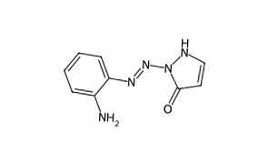 Nc1ccccc1/N=N/n1[nH]ccc1=O